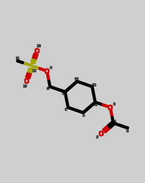 CC(=O)OC1CCC(COS(C)(=O)=O)CC1